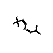 CC(C)/C=N\C=C/C(C)(C)C